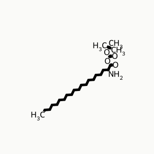 CCCCCCCCCCCCCCCCCCC(N)C(=O)OC(=O)OC(C)(C)C